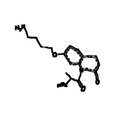 CCCCC(C)C(=O)n1c(=O)ccc2ccc(OCCCCN)cc21